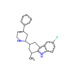 CC1CC(C2CC(c3ccccc3)=CCN2)Cc2c1[nH]c1ccc(F)cc21